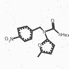 CCCCCCC(=O)N(Cc1ccc([N+](=O)[O-])cc1)c1ccc(C)o1